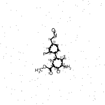 COC(=O)c1nc(-c2ccc(CN=O)cc2F)c(F)c(N)c1Cl